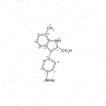 CC(=O)Nc1ccc(-c2c(C(=O)O)[nH]c3c(C)cccc23)cc1